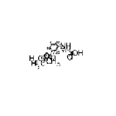 CC(C)(C)OC(=O)c1cccc(NCCC(=O)O)c1